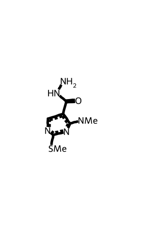 CNc1nc(SC)ncc1C(=O)NN